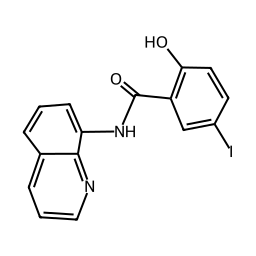 O=C(Nc1cccc2cccnc12)c1cc(I)ccc1O